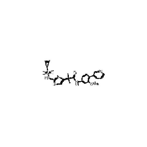 COc1cc(NC(=O)C(C)(C)c2csc(NS(=O)(=O)C3CC3)n2)ccc1-c1cccnc1